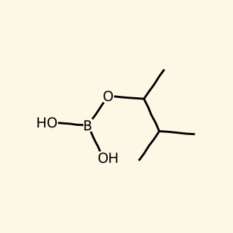 CC(C)C(C)OB(O)O